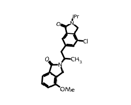 COc1cccc2c1CN(C(C)Cc1cc(Cl)c3c(c1)C(=O)N(C(C)C)C3)C2=O